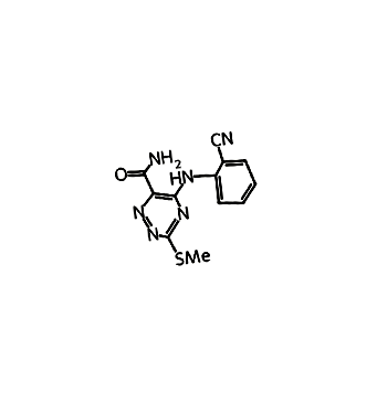 CSc1nnc(C(N)=O)c(Nc2ccccc2C#N)n1